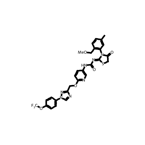 COCc1ccc(C)cc1N1C(=O)CS/C1=N\C(=O)Nc1ccc(OCc2ncn(-c3ccc(OC(F)(F)F)cc3)n2)nc1